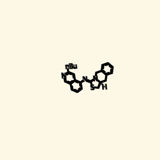 CCCCc1cc2c(N=C3SC[C@@H]4Cc5ccccc5CN34)cccc2cn1